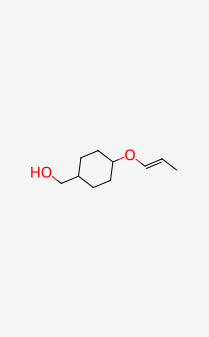 CC=COC1CCC(CO)CC1